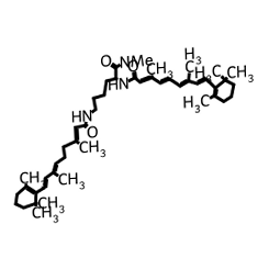 CNC(=O)C(CCCCNC(=O)/C=C(\C)CC/C=C(C)/C=C/C1=C(C)CCCC1(C)C)NC(=O)/C=C(C)/C=C/C=C(C)/C=C/C1=C(C)CCCC1(C)C